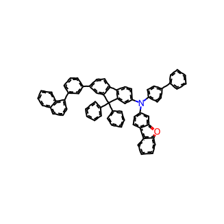 c1ccc(-c2ccc(N(c3ccc4c(c3)C(c3ccccc3)(c3ccccc3)c3cc(-c5cccc(-c6cccc7ccccc67)c5)ccc3-4)c3ccc4c(c3)oc3ccccc34)cc2)cc1